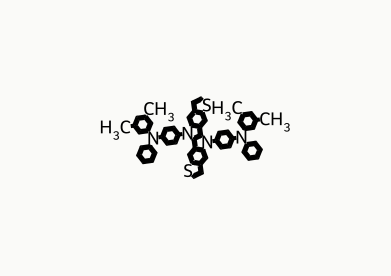 Cc1cc(C)cc(N(c2ccccc2)c2ccc(-n3c4cc5ccsc5cc4c4c3c3cc5sccc5cc3n4-c3ccc(N(c4ccccc4)c4cc(C)cc(C)c4)cc3)cc2)c1